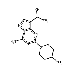 CC(C)c1cnn2c(N)nc(N3CCC(N)CC3)nc12